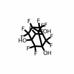 OC12C(F)C3(O)C(F)(F)C(O)(C1(F)F)C(F)(F)C(F)(C2(F)F)C3(F)F